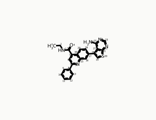 CCNC(=O)c1cc(-c2ccccc2)nc2cc(-c3csc4ncnc(N)c34)ccc12